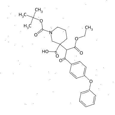 CCOC(=O)C(C(=O)c1ccc(Oc2ccccc2)cc1)C1(C(=O)O)CCCN(C(=O)OC(C)(C)C)C1